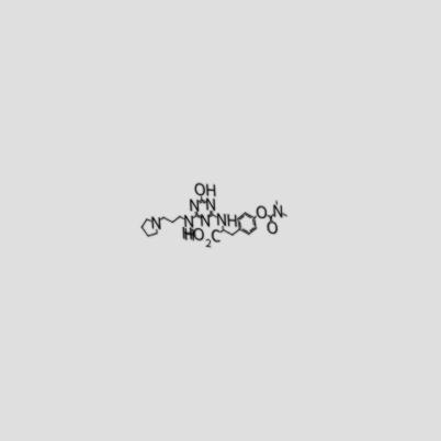 CN(C)C(=O)Oc1ccc(C[C@H](Nc2nc(O)nc(NCCCN3CCCC3)n2)C(=O)O)cc1